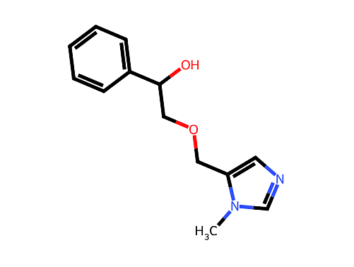 Cn1cncc1COCC(O)c1ccccc1